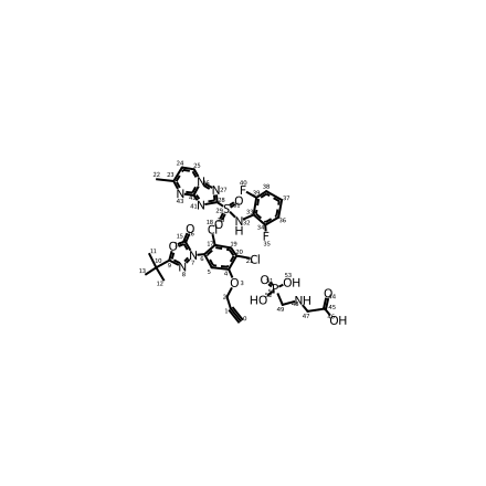 C#CCOc1cc(-n2nc(C(C)(C)C)oc2=O)c(Cl)cc1Cl.Cc1ccn2nc(S(=O)(=O)Nc3c(F)cccc3F)nc2n1.O=C(O)CNCP(=O)(O)O